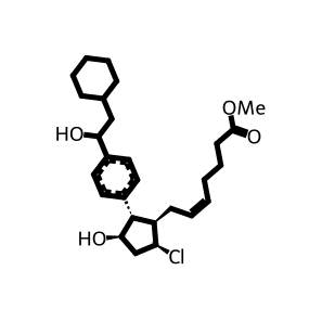 COC(=O)CCC/C=C\C[C@@H]1[C@@H](c2ccc(C(O)CC3CCCCC3)cc2)[C@H](O)C[C@@H]1Cl